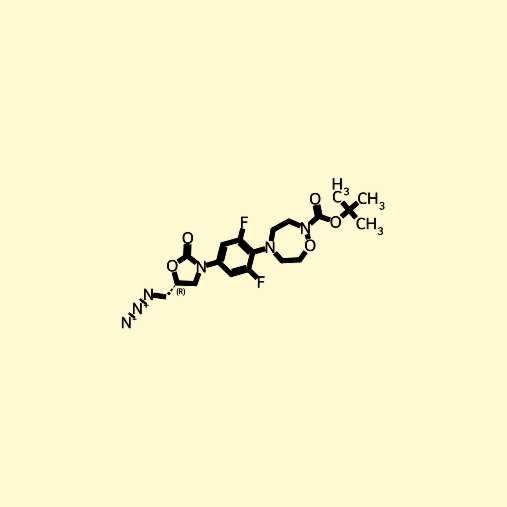 CC(C)(C)OC(=O)N1CCN(c2c(F)cc(N3C[C@H](CN=[N+]=[N-])OC3=O)cc2F)CCO1